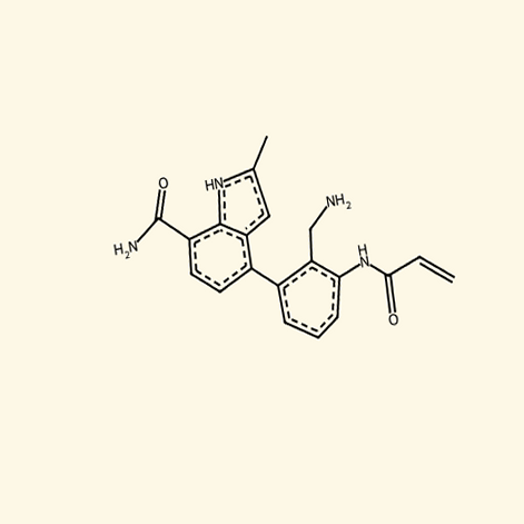 C=CC(=O)Nc1cccc(-c2ccc(C(N)=O)c3[nH]c(C)cc23)c1CN